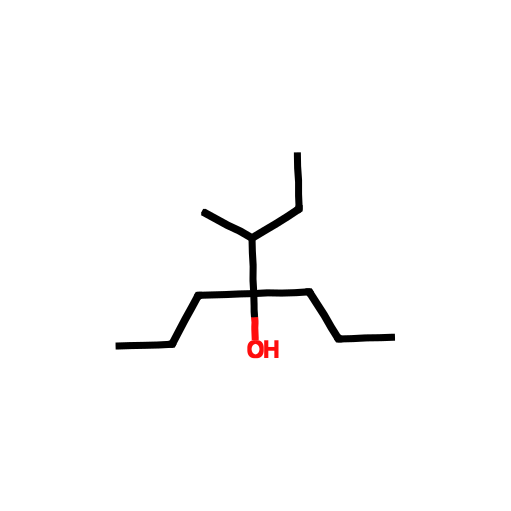 CCCC(O)(CCC)C(C)CC